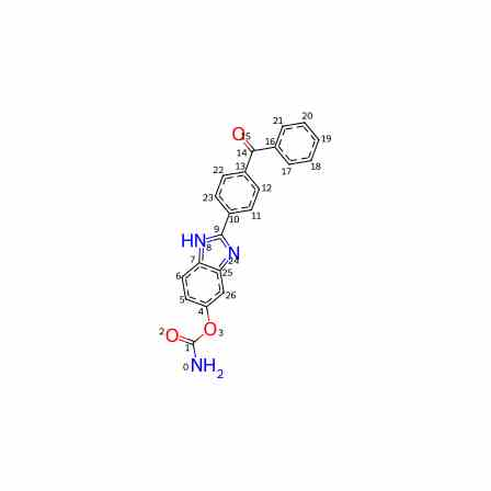 NC(=O)Oc1ccc2[nH]c(-c3ccc(C(=O)c4ccccc4)cc3)nc2c1